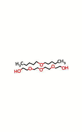 CCCCCOCCCCC.OCCOCCOCCOCCO